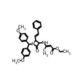 CCOC(=O)/C=C(\C)NC1C(=O)N(C(c2ccc(OC)cc2)c2ccc(OC)cc2)C1/C=C/c1ccccc1